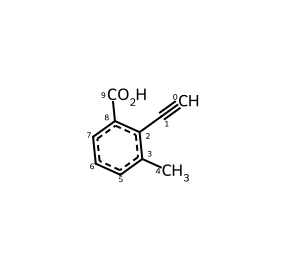 C#Cc1c(C)cccc1C(=O)O